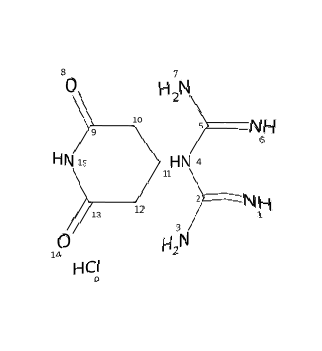 Cl.N=C(N)NC(=N)N.O=C1CCCC(=O)N1